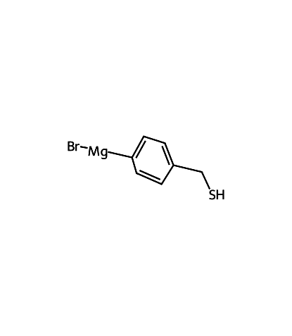 SCc1cc[c]([Mg][Br])cc1